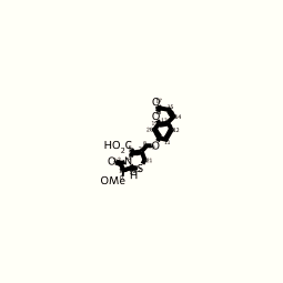 CO[C@H]1C(=O)N2C(C(=O)O)=C(COc3ccc4ccc(=O)oc4c3)CS[C@H]12